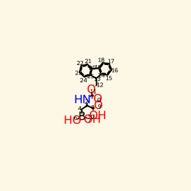 O=C(NC(CB(O)O)C(=O)O)OCC1c2ccccc2-c2ccccc21